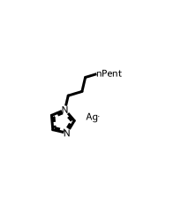 CCCCCCCCn1ccnc1.[Ag]